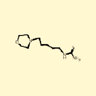 NC(=S)NCCCCCN1CCOCC1